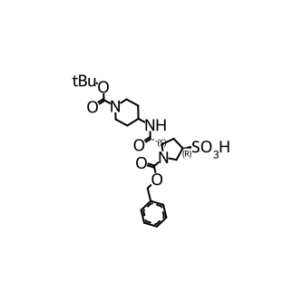 CC(C)(C)OC(=O)N1CCC(NC(=O)[C@@H]2C[C@@H](S(=O)(=O)O)CN2C(=O)OCc2ccccc2)CC1